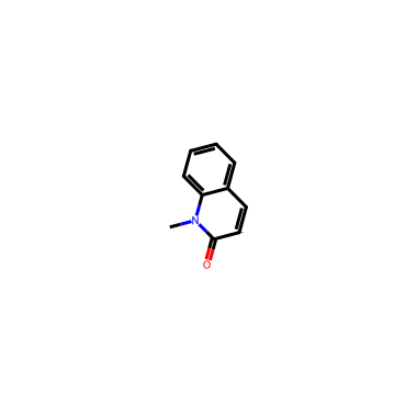 Cn1c(=O)[c]cc2ccccc21